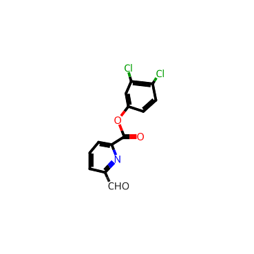 O=Cc1cccc(C(=O)Oc2ccc(Cl)c(Cl)c2)n1